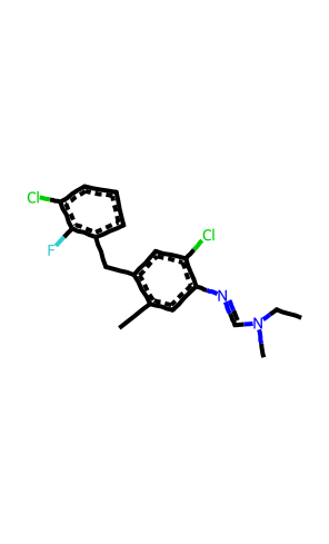 CCN(C)C=Nc1cc(C)c(Cc2cccc(Cl)c2F)cc1Cl